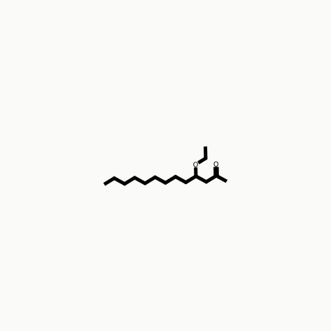 CCCCCCCCCC(CC(C)=O)OCC